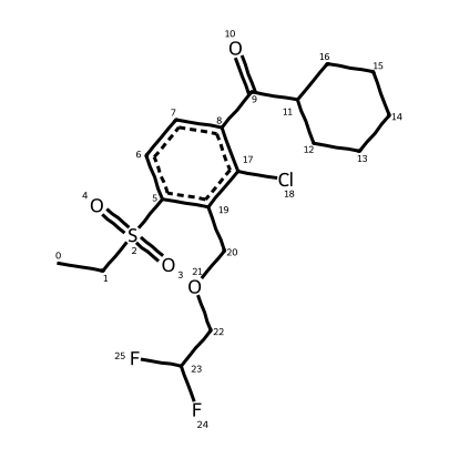 CCS(=O)(=O)c1ccc(C(=O)C2CCCCC2)c(Cl)c1COCC(F)F